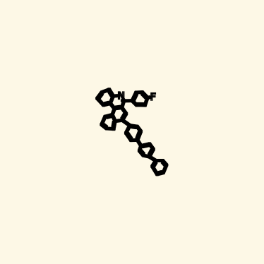 Fc1ccc(-c2nc3ccccc3c3c2cc(-c2ccc(-c4ccc(-c5ccccc5)cc4)cc2)c2ccccc23)cc1